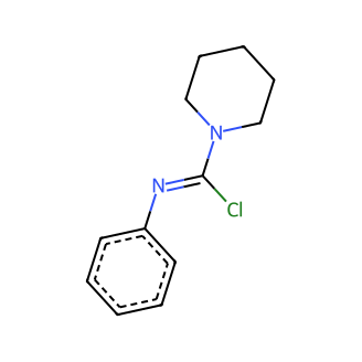 ClC(=Nc1ccccc1)N1CCCCC1